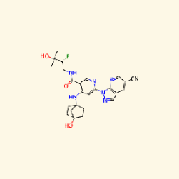 CC(C)(O)[C@H](F)CNC(=O)c1cnc(-n2ncc3cc(C#N)cnc32)cc1NC12CCC(O)(CC1)C2